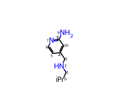 CC(C)CNCc1ccnc(N)c1